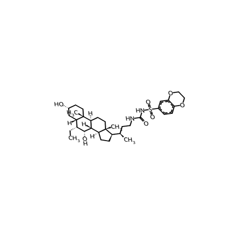 CC[C@H]1[C@@H](O)[C@@H]2[C@H](CC[C@]3(C)[C@@H]([C@H](C)CCNC(=O)NS(=O)(=O)c4ccc5c(c4)OCCO5)CC[C@@H]23)[C@@]2(C)CC[C@@H](O)C[C@@H]12